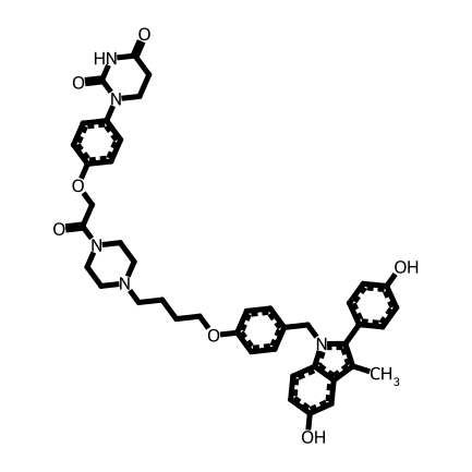 Cc1c(-c2ccc(O)cc2)n(Cc2ccc(OCCCCN3CCN(C(=O)COc4ccc(N5CCC(=O)NC5=O)cc4)CC3)cc2)c2ccc(O)cc12